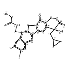 Cc1cc2c(CNC(=O)CO)c3c(nc2cc1F)-c1cc2c(c(=O)n1C3)COC(=O)[C@]2(O)CC1CC1